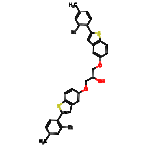 CCc1cc(C)ccc1-c1cc2cc(OCC(O)COc3ccc4sc(-c5ccc(C)cc5CC)cc4c3)ccc2s1